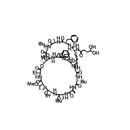 C=C1NC(=O)[C@H]([C@@H](C)CC)NC(=O)[C@@H]2CSSC[C@H](NC(=O)CCC(O)O)C(=O)N[C@H](Cc3ccccc3)C(=O)N[C@H](C)C(=O)N[C@@H](C[C@@H](C)CC)C(=O)N[C@@H](C(=O)N[C@H](Cc3ccccc3)C(=O)N3CCC[C@H]3C(=O)N2)[C@@H](C)OC(=O)[C@H](CC)NC(=O)[C@H]([C@@H](C)OC)N(C)C(=O)[C@@H](C(C)C)NC(=O)[C@H](C[C@H](C)CC)NC1=O